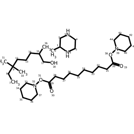 CC1CNCCN1.CCC(C)(C)CCCC(C)CO.O=C(CCCCCCCCC(=O)ON1CCCCC1)ON1CCCCC1